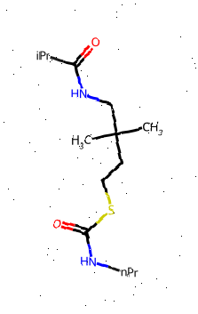 CCCNC(=O)SCCC(C)(C)CNC(=O)C(C)C